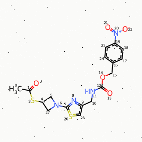 CC(=O)SC1CN(c2nc(CNC(=O)OCc3ccc([N+](=O)[O-])cc3)cs2)C1